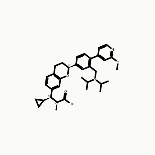 COc1cc(-c2ccc([C@@H]3CCc4ccc([C@H](C5CC5)[C@H](C)C(=O)O)cc4O3)cc2CN(C(C)C)C(C)C)ccn1